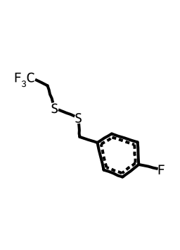 Fc1ccc(CSSCC(F)(F)F)cc1